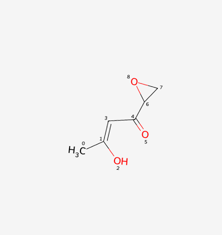 C/C(O)=C/C(=O)C1CO1